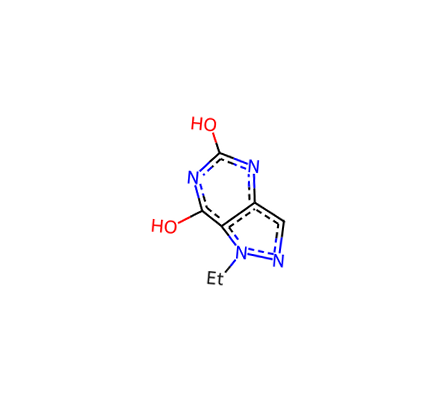 CCn1ncc2nc(O)nc(O)c21